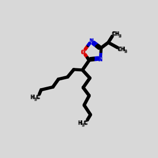 CCCCCCC(CCCCCC)c1nc(C(C)C)no1